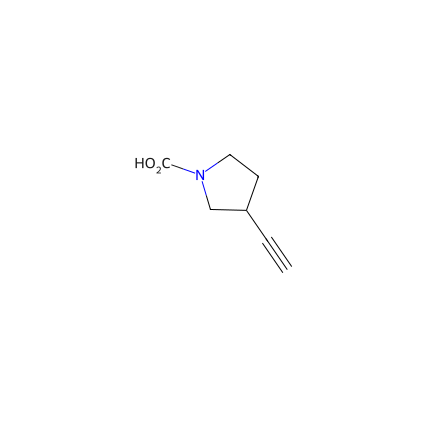 C#CC1CCN(C(=O)O)C1